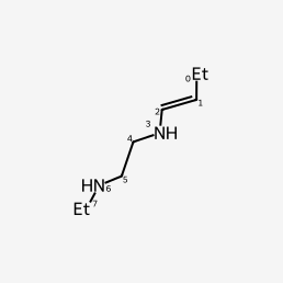 CCC=CNCCNCC